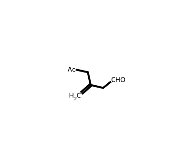 C=C(CC=O)CC(C)=O